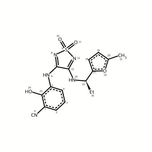 [C-]#[N+]c1cccc(NC2=NS(=O)(=O)N=C2N[C@H](CC)c2ccc(C)o2)c1O